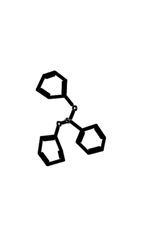 c1ccc(O[Si](Oc2ccccc2)c2ccccc2)cc1